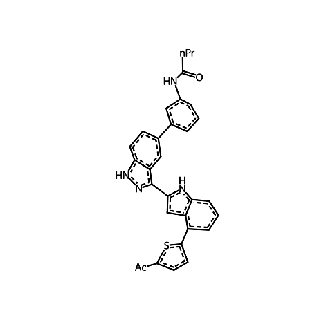 CCCC(=O)Nc1cccc(-c2ccc3[nH]nc(-c4cc5c(-c6ccc(C(C)=O)s6)cccc5[nH]4)c3c2)c1